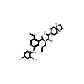 C=CCN(C(=O)c1cc(Oc2ccc(F)cc2F)ccc1C=C)[C@@H](C(=O)N1CCC2(CC1)OCCO2)C(C)C